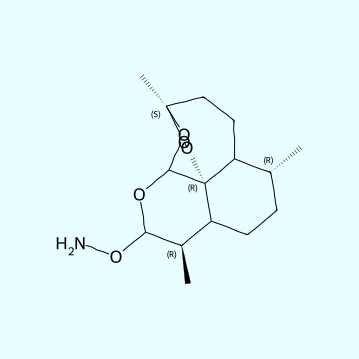 C[C@H]1C(ON)OC2O[C@]3(C)CCC4[C@H](C)CCC1[C@@]24OO3